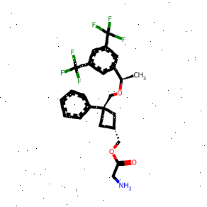 C[C@@H](OC[C@]1(c2ccccc2)C[C@@H](COC(=O)CN)C1)c1cc(C(F)(F)F)cc(C(F)(F)F)c1